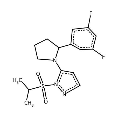 CC(C)S(=O)(=O)n1nccc1N1CCCC1c1cc(F)cc(F)c1